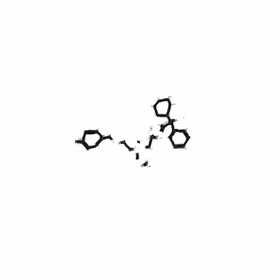 C[N+](C)(CCOCc1ccc(Cl)cc1)Cc1noc(C(O)(c2ccccc2)C2CCCCC2)n1.O=C[O-]